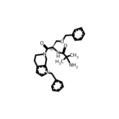 CC(C)(N)C(=O)N[C@H](COCc1ccccc1)C(=O)N1CCc2ccn(Cc3ccccc3)c2C1